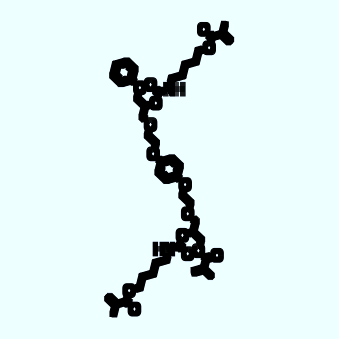 C=C(C)C(=O)OCCCCCNC(=O)OC(COCCOc1ccc(OCCOCC(COc2ccccc2)OC(=O)NCCCCCOC(=O)C(=C)C)cc1)COC(=O)C(=C)C